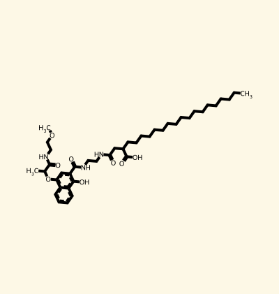 CCCCCCCCCCCCCCCCCCC(CC(=O)NCCNC(=O)c1cc(OC(C)C(=O)NCCOC)c2ccccc2c1O)C(=O)O